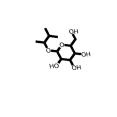 CC(C)C(C)OC1OC(CO)C(O)C(O)C1O